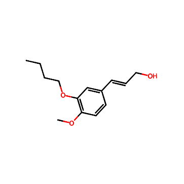 CCCCOc1cc(/C=C/CO)ccc1OC